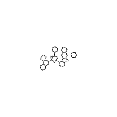 c1ccc(-c2nc(-c3cc4ccccc4c4ccccc34)nc(-c3cccc4oc5c(-c6ccccc6)c6ccccc6cc5c34)n2)cc1